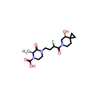 C[C@H]1C(=O)N(CCC(F)C(=O)N2CCC3(CC3)[C@H](O)C2)CCN1C(=O)O